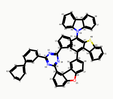 c1ccc(-c2cccc(-c3nc(-c4ccccc4)nc(-c4cccc5oc6ccc(-c7ccc(-n8c9ccccc9c9ccccc98)c8sc9ccccc9c78)cc6c45)n3)c2)cc1